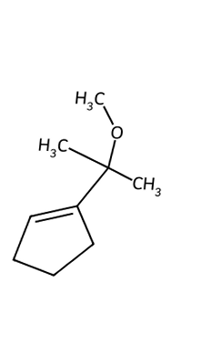 COC(C)(C)C1=CCCC1